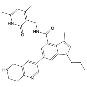 CCCn1cc(C)c2c(C(=O)NCc3c(C)cc(C)[nH]c3=O)cc(-c3cnc4c(c3)CNCC4)cc21